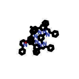 Cc1ccc2c(c1)c1cc(C)ccc1n2-c1c(-c2nc(-c3ccccc3)cc(-c3ccccc3)n2)cc(-c2nc(-c3ccccc3)cc(-c3ccccc3)n2)c(-n2c3ccc(C)cc3c3cc(C)ccc32)c1-n1c2ccccc2c2cc(-c3cccc(-c4ccccc4)n3)ccc21